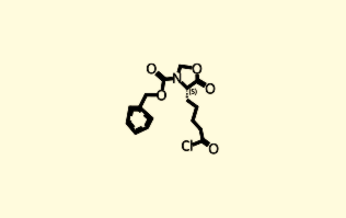 O=C(Cl)CCCC[C@H]1C(=O)OCN1C(=O)OCc1ccccc1